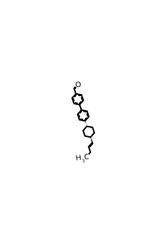 CCC=C[C@H]1CC[C@H](c2ccc(-c3ccc(C=O)cc3)cc2)CC1